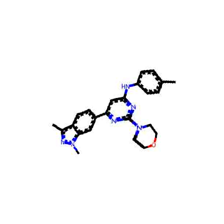 Cc1ccc(Nc2cc(-c3ccc4c(C)nn(C)c4c3)nc(N3CCOCC3)n2)cc1